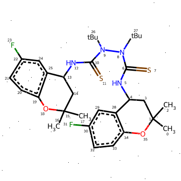 CC1(C)CC(NC(=S)N(N(C(=S)NC2CC(C)(C)Oc3ccc(F)cc32)C(C)(C)C)C(C)(C)C)c2cc(F)ccc2O1